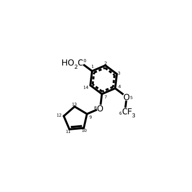 O=C(O)c1ccc(OC(F)(F)F)c(OC2C=CCC2)c1